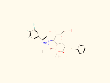 COC(=O)[C@@H](SCc1ccccc1)[C@@H]1OC(CO)[C@H](O)C(n2cc(-c3cc(F)c(F)c(F)c3)nn2)C1OC(C)=O